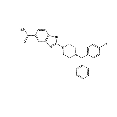 NC(=O)c1ccc2[nH]c(N3CCN(C(c4ccccc4)c4ccc(Cl)cc4)CC3)nc2c1